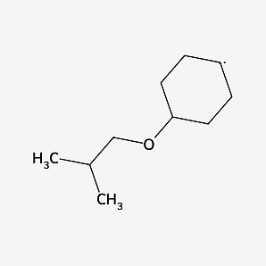 CC(C)COC1CC[CH]CC1